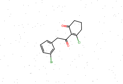 O=C1CCCC(Cl)=C1C(=O)Cc1cccc(Br)c1